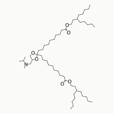 CCCCCC(CCCCC)CCOC(=O)CCCCCCCCCC1(CCCCCCCCCC(=O)OCCC(CCCCC)CCCCC)OCC(CN(C)C(C)C)O1